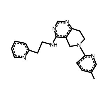 Cc1ccc(N2CCc3ncnc(NCCc4ccccn4)c3C2)nc1